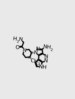 C[C@@H]1CCN(C(=O)CN)C[C@@H]1n1nc(N)c2nnc3[nH]ccc3c21